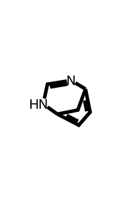 C1=NC2=CC=C(C2)N1